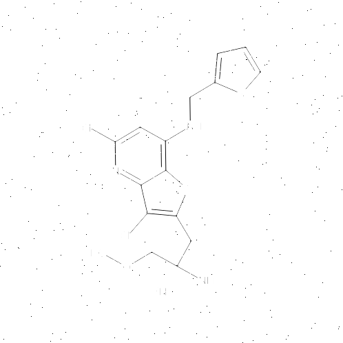 [2H][C@](N)(COC)Cc1oc2c(NCc3cccs3)cc(Cl)nc2c1Cl